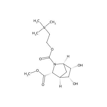 COC(=O)[C@H]1[C@H]2C[C@H]([C@H](O)[C@@H]2O)N1C(=O)OCC[Si](C)(C)C